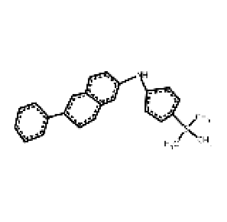 CS(C)(C)c1ccc(Nc2ccc3cc(-c4ccccc4)ccc3c2)cc1